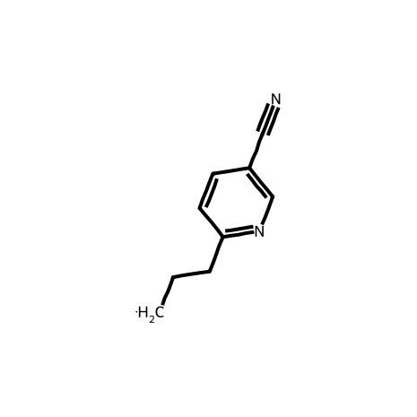 [CH2]CCc1ccc(C#N)cn1